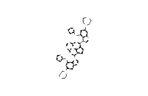 C1=Nc2cc(N3CCOCC3)cc(Nc3ccc[nH]3)c2C1c1nc2ncnc3nc(-n4cnc5cc(N6CCOCC6)cc(Nc6ccc[nH]6)c54)c4ccc1c4n23